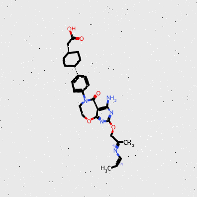 C/C=C\N=C(/C)COc1nc(N)c2c(n1)OCCN(c1ccc([C@H]3CC[C@H](CC(=O)O)CC3)cc1)C2=O